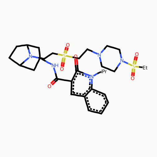 CCS(=O)(=O)N1CCN(CCS(=O)(=O)CCN2C3CCC2CC(NC(=O)c2cc4ccccc4n(C(C)C)c2=O)C3)CC1